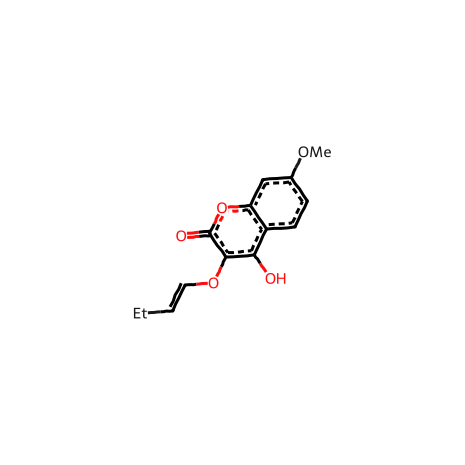 CCC=COc1c(O)c2ccc(OC)cc2oc1=O